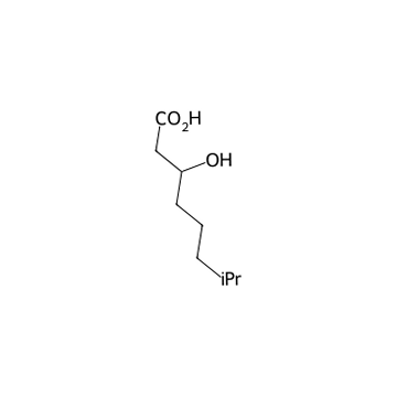 CC(C)CCCC(O)CC(=O)O